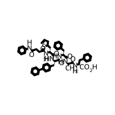 C[C@H](NC(=O)[C@@H](Cc1ccccc1)NC(=O)[C@H](Cc1ccc(-c2ccccc2)cc1)NC(=O)[C@@H](CC1CC=CS1)NC(=O)CCC(=O)Nc1ccccc1)C(=O)N[C@@H](Cc1ccccc1)C(=O)O